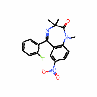 CN1C(=O)C(C)(C)N=C(c2ccccc2F)c2cc([N+](=O)[O-])ccc21